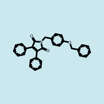 O=C1C(c2ccccc2)=C(c2ccccc2)C(=O)N1Cc1ccc(OCc2ccccc2)cc1